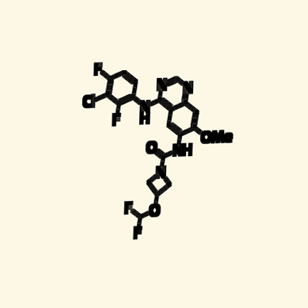 COc1cc2ncnc(Nc3ccc(F)c(Cl)c3F)c2cc1NC(=O)N1CC(OC(F)F)C1